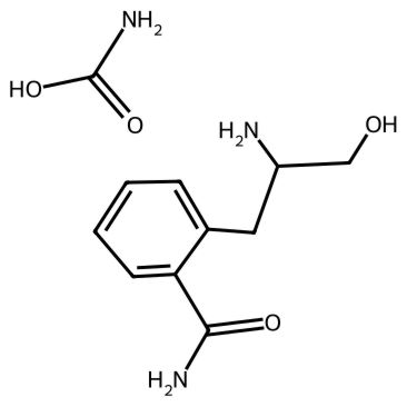 NC(=O)O.NC(=O)c1ccccc1CC(N)CO